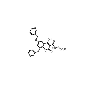 O=C(O)CNC(=O)c1c(O)c2cc(OCc3ccccc3)cc(Cc3ccccc3)c2[nH]c1=O